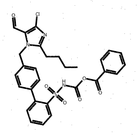 CCCCc1nc(Cl)c(C=O)n1Cc1ccc(-c2ccccc2S(=O)(=O)NC(=O)OC(=O)c2ccccc2)cc1